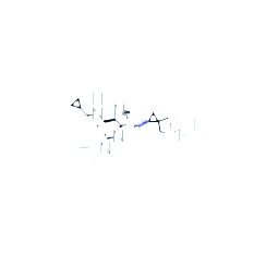 Nc1nc(NCC2CC2)c2ncn(/C=C3\CC3(CO)CO)c2n1